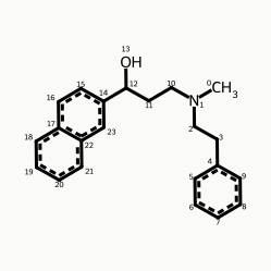 CN(CCc1ccccc1)CCC(O)c1ccc2ccccc2c1